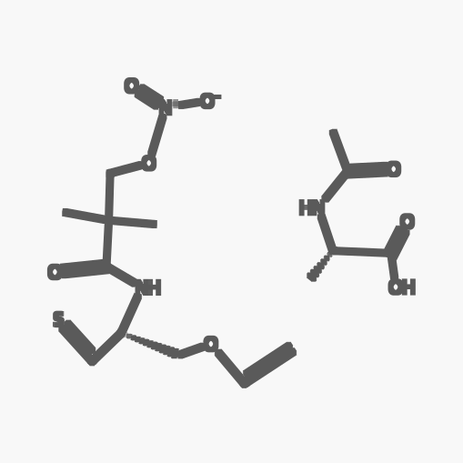 C=COC[C@H](C=S)NC(=O)C(C)(C)CO[N+](=O)[O-].CC(=O)N[C@@H](C)C(=O)O